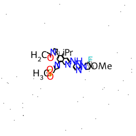 C=CC(=O)N1CC[C@H]1c1cc(N2CC(CS(C)(=O)=O)C2)c2cnc(Nc3ccnc(N4CC[C@@H](OC)[C@@H](F)C4)n3)cc2c1C(C)C